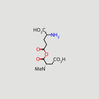 CN[C@@H](CC(=O)O)C(=O)OC(=O)CC[C@H](N)C(=O)O